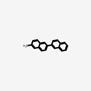 Bc1ccc2cc(-c3ccc4ccccc4c3)ccc2c1